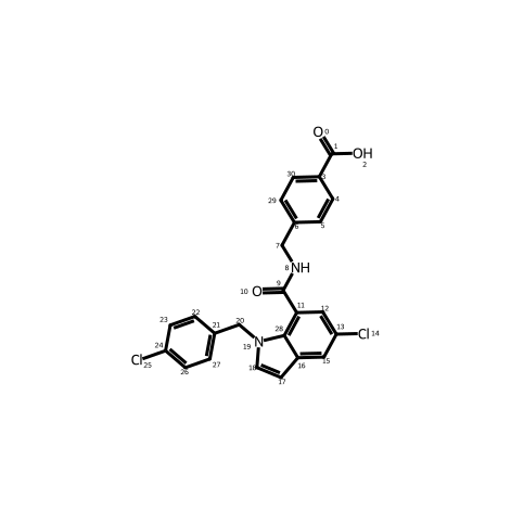 O=C(O)c1ccc(CNC(=O)c2cc(Cl)cc3ccn(Cc4ccc(Cl)cc4)c23)cc1